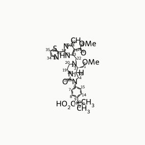 COC[C@H]1[C@@H]2CN(c3ccc(C(C)(C)C(=O)O)cc3)C(=O)N2CCN1CC1=C(C(=O)OC)[C@H](C)N=C(c2nccs2)N1